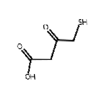 O=C(O)CC(=O)CS